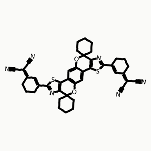 N#CC(C#N)=C1C=C(c2nc3c(s2)-c2cc4c(cc2OC32CCCCC2)-c2sc(C3=CC(=C(C#N)C#N)CCC3)nc2C2(CCCCC2)O4)CCC1